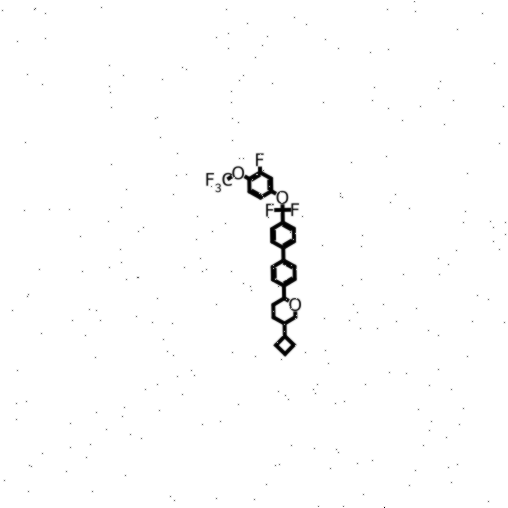 Fc1cc(OC(F)(F)c2ccc(-c3ccc(C4CCC(C5CCC5)CO4)cc3)cc2)ccc1OC(F)(F)F